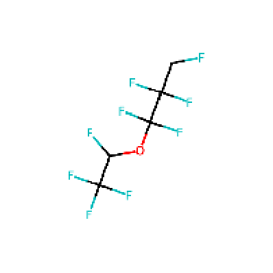 FCC(F)(F)C(F)(F)OC(F)C(F)(F)F